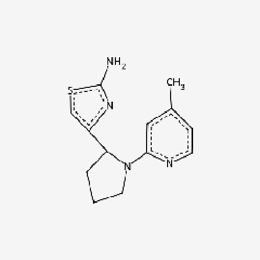 Cc1ccnc(N2CCCC2c2csc(N)n2)c1